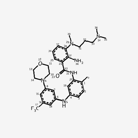 Cc1ccc(Nc2cc(N3CCOCC3)cc(C(F)(F)F)c2)cc1NC(=O)c1cccc(N(C)CCCN(C)C)c1N